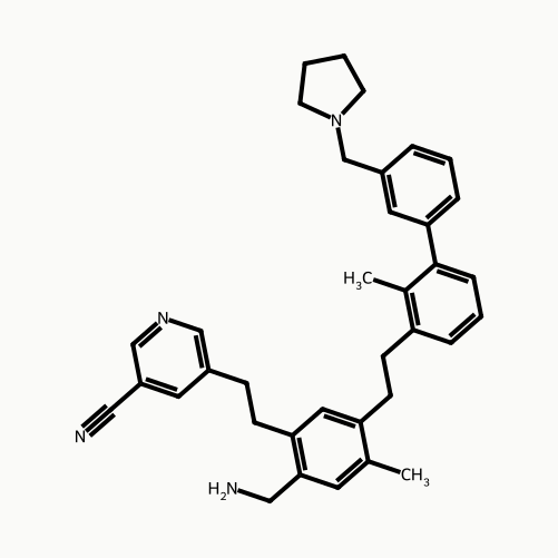 Cc1cc(CN)c(CCc2cncc(C#N)c2)cc1CCc1cccc(-c2cccc(CN3CCCC3)c2)c1C